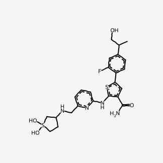 CC(CO)c1ccc(-c2cc(C(N)=O)c(Nc3cccc(CNC4CCS(O)(O)C4)n3)s2)c(F)c1